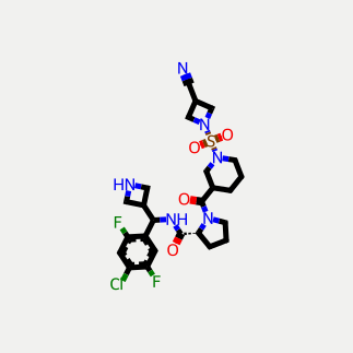 N#CC1CN(S(=O)(=O)N2CCCC(C(=O)N3CCC[C@@H]3C(=O)NC(c3cc(F)c(Cl)cc3F)C3CNC3)C2)C1